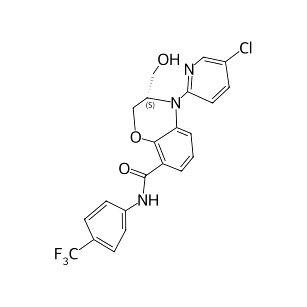 O=C(Nc1ccc(C(F)(F)F)cc1)c1cccc2c1OC[C@H](CO)N2c1ccc(Cl)cn1